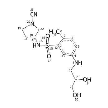 Cc1ccc(NCC(O)CO)cc1S(=O)(=O)N[C@@H]1CCN(C#N)C1